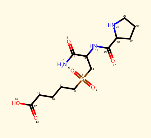 NC(=O)C(CS(=O)(=O)CCCCC(=O)O)NC(=O)C1CCCN1